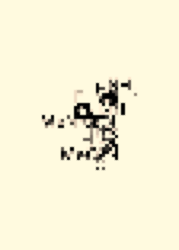 CNc1cc(F)cc2c1[nH]c1nc(Sc3cnc(C(=O)OC)s3)nc(N3C[C@H]4C[C@@H]3C[C@H]4N)c12